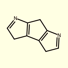 C1=NC2=C(C1)C1=C(C2)N=CC1